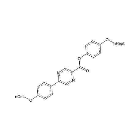 CCCCCCCCOc1ccc(-c2cnc(C(=O)Oc3ccc(OCCCCCCC)cc3)cn2)cc1